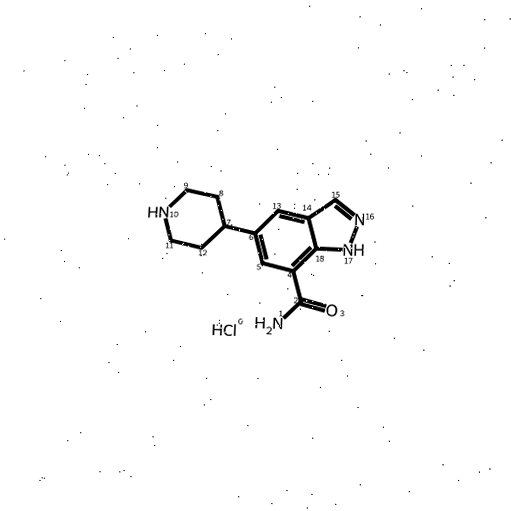 Cl.NC(=O)c1cc(C2CCNCC2)cc2cn[nH]c12